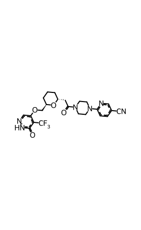 N#Cc1ccc(N2CCN(C(=O)C[C@H]3CCC[C@H](COc4cn[nH]c(=O)c4C(F)(F)F)O3)CC2)nc1